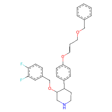 Fc1ccc(COC2CNCCC2c2ccc(OCCCOCc3ccccc3)cc2)cc1F